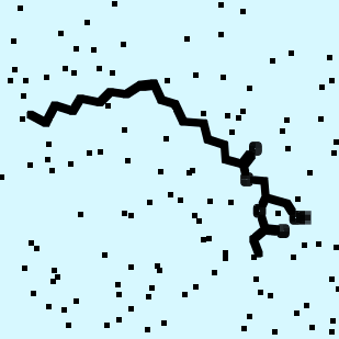 CCCCCCCC/C=C\CCCCCCCC(=O)OCC(CO)OC(=O)CC